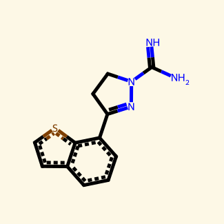 N=C(N)N1CCC(c2cccc3ccsc23)=N1